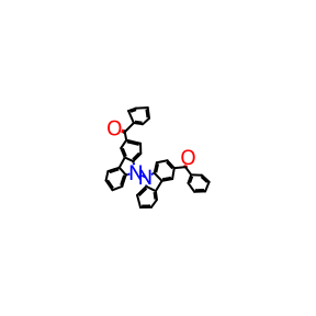 O=C(c1ccccc1)c1ccc2c(c1)c1ccccc1n2-n1c2ccccc2c2cc(C(=O)c3ccccc3)ccc21